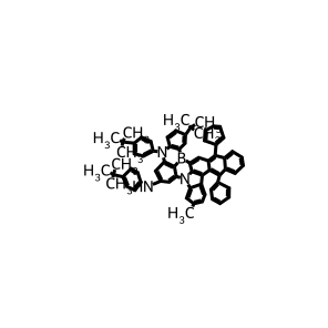 Cc1ccc2c3c4c(-c5ccccc5)c5ccccc5c(-c5ccccc5)c4cc4c3n(c2c1)-c1cc(Nc2ccc(C(C)(C)C)cc2)cc2c1B4c1cc(C(C)(C)C)ccc1N2c1ccc(C(C)(C)C)cc1